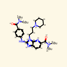 CCCCN(CCCC)C(=O)c1ccc(Nc2nc3ccc(C(=O)N(CCCC)CCCC)nc3n2CCCN2CCCCC2)cc1